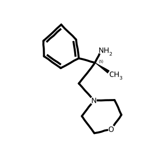 C[C@@](N)(CN1CCOCC1)c1ccccc1